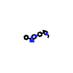 CCN1CC2CC2(C2=CCC(N3CCn4c(nnc4-c4ccccc4)C3)C=C2)C1